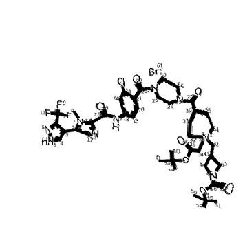 Cn1c(-c2c[nH]nc2C(F)(F)F)cnc1C(=O)Nc1ccc(C(=O)N2CCN(C(=O)C3CC[N+](CC(=O)OC(C)(C)C)(CC4CN(C(=O)OC(C)(C)C)C4)CC3)CC2)c(Cl)c1.[Br-]